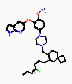 C=C/C=C(Cl)\C=C/CC1=C(CN2CCN(c3ccc(ON)c(Oc4cnc5[nH]ccc5c4)c3)CC2)CCC2(CCC2)C1